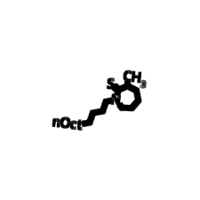 CCCCCCCCCCCCN1CCCCC(C)C1=S